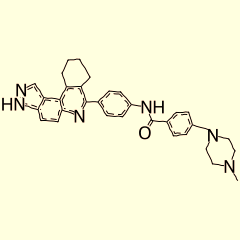 CN1CCN(Cc2ccc(C(=O)Nc3ccc(-c4nc5ccc6[nH]ncc6c5c5c4CCCC5)cc3)cc2)CC1